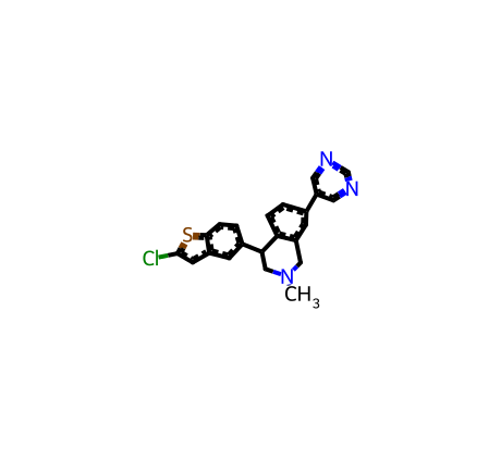 CN1Cc2cc(-c3cncnc3)ccc2C(c2ccc3sc(Cl)cc3c2)C1